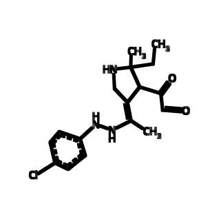 CCC1(C)NCC(=C(C)NNc2ccc(Cl)cc2)C1C(=O)C=O